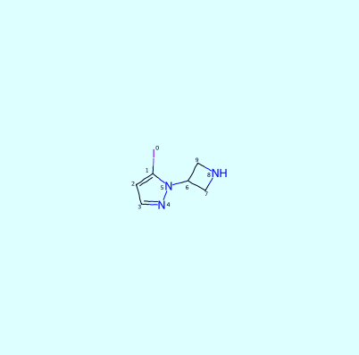 Ic1ccnn1C1CNC1